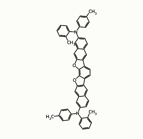 Cc1ccc(N(c2ccc3cc4c(cc3c2)oc2c4ccc3c4cc5ccc(N(c6ccc(C)cc6)c6ccccc6C)cc5cc4oc32)c2ccccc2C)cc1